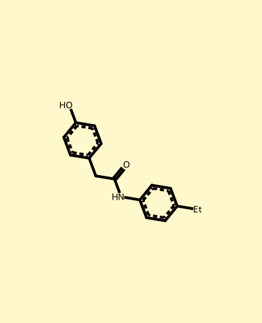 CCc1ccc(NC(=O)Cc2ccc(O)cc2)cc1